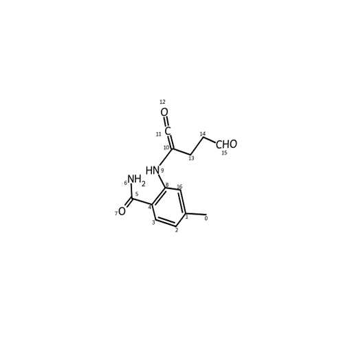 Cc1ccc(C(N)=O)c(NC(=C=O)CCC=O)c1